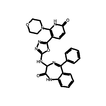 O=C1Nc2ccccc2C(c2ccccc2)=NC1Nc1nnc(-c2ccc(=O)[nH]c2N2CCOCC2)o1